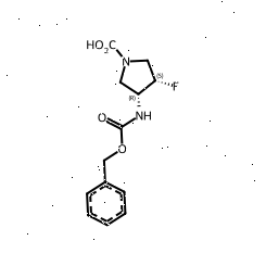 O=C(N[C@@H]1CN(C(=O)O)C[C@@H]1F)OCc1ccccc1